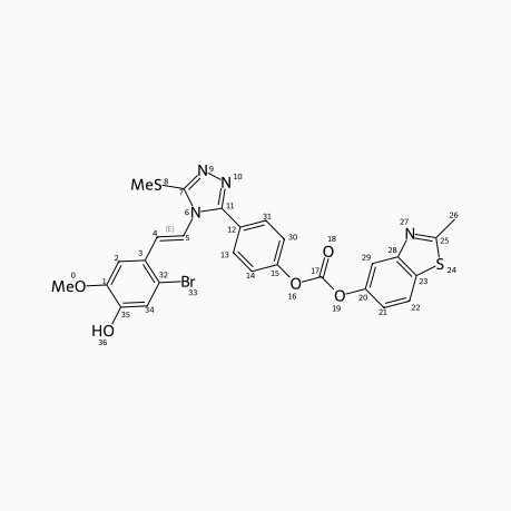 COc1cc(/C=C/n2c(SC)nnc2-c2ccc(OC(=O)Oc3ccc4sc(C)nc4c3)cc2)c(Br)cc1O